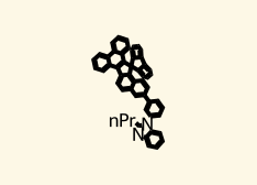 CCCc1nc2ccccc2n1-c1cccc(-c2ccc3c4c(ccc3c2)-c2c(c3ccccc3c3ccccc23)C42c3ccccc3-c3ccccc32)c1